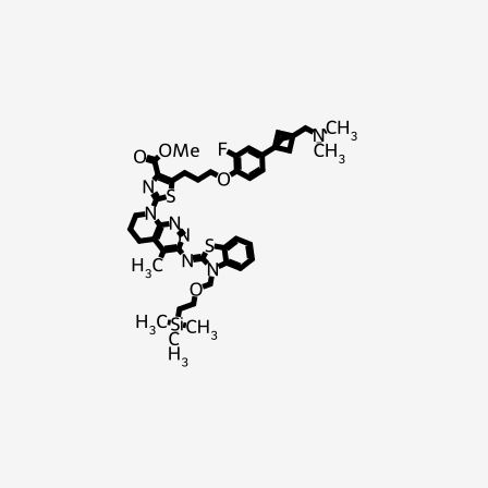 COC(=O)c1nc(N2CCCc3c2nnc(/N=c2\sc4ccccc4n2COCC[Si](C)(C)C)c3C)sc1CCCOc1ccc(C23CC(CN(C)C)(C2)C3)cc1F